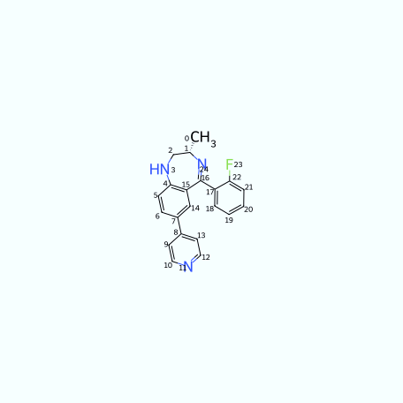 C[C@H]1CNc2ccc(-c3ccncc3)cc2C(c2ccccc2F)=N1